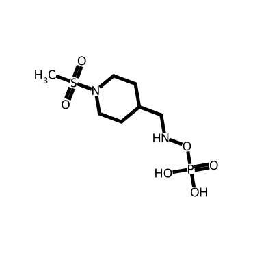 CS(=O)(=O)N1CCC(CNOP(=O)(O)O)CC1